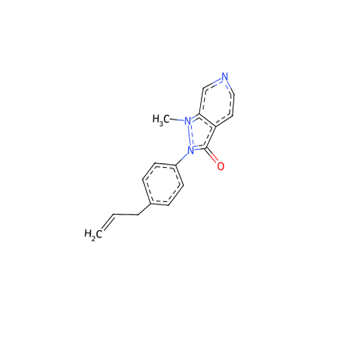 C=CCc1ccc(-n2c(=O)c3ccncc3n2C)cc1